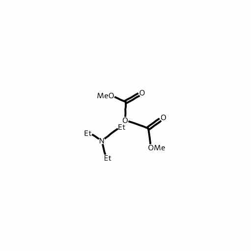 CCN(CC)CC.COC(=O)OC(=O)OC